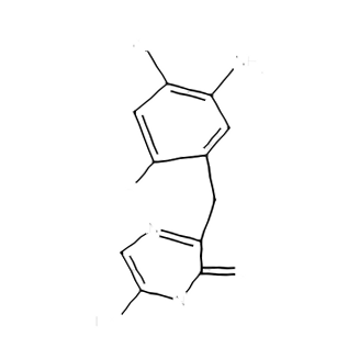 Nc1cc(Cc2ncc(C(F)(F)F)[nH]c2=O)c(F)cc1Cl